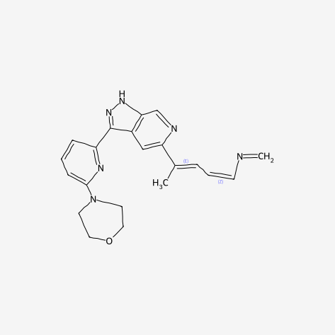 C=N/C=C\C=C(/C)c1cc2c(-c3cccc(N4CCOCC4)n3)n[nH]c2cn1